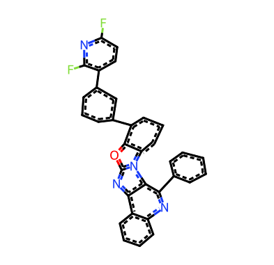 Fc1ccc(-c2cccc(-c3cccc4c3oc3nc5c6ccccc6nc(-c6ccccc6)c5n34)c2)c(F)n1